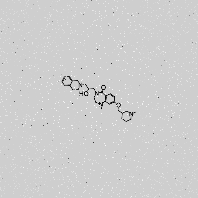 CN1CCCC(COc2ccc3c(c2)N(C)CCN(CC(O)CN2CCc4ccccc4C2)C3=O)C1